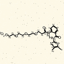 Cc1nc(NC(=O)c2ccccc2NC(=O)CCOCCOCCOCCC(=O)O)sc1C